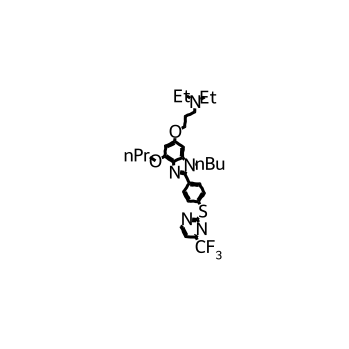 [CH2]CCOc1cc(OCCCN(CC)CC)cc2c1nc(-c1ccc(Sc3nccc(C(F)(F)F)n3)cc1)n2CCCC